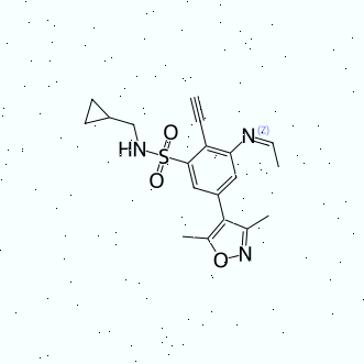 C#Cc1c(/N=C\C)cc(-c2c(C)noc2C)cc1S(=O)(=O)NCC1CC1